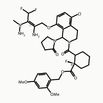 COc1ccc(COC(=O)[C@@]2(F)CCCCC2C(=O)N2CCc3c(Cl)ccc(OC/C(N)=C(\C(F)F)N(C)N)c3C2N2CCCC2=O)c(OC)c1